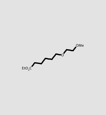 CCOC(=O)CCCCCOCCOC